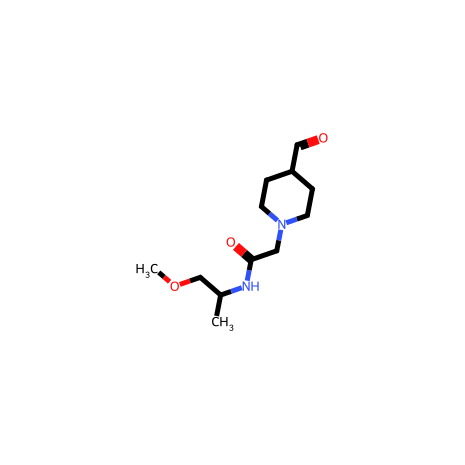 COCC(C)NC(=O)CN1CCC(C=O)CC1